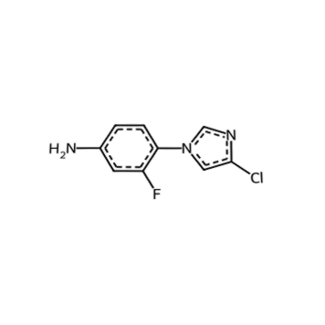 Nc1ccc(-n2cnc(Cl)c2)c(F)c1